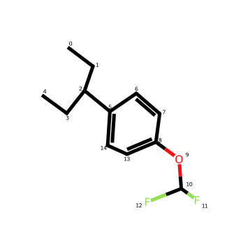 CCC(CC)c1ccc(OC(F)F)cc1